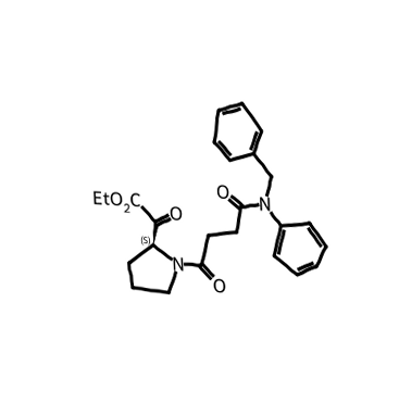 CCOC(=O)C(=O)[C@@H]1CCCN1C(=O)CCC(=O)N(Cc1ccccc1)c1ccccc1